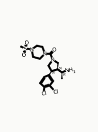 C[C@H](N)[C@@H]1CN(C(=O)N2CCN(S(C)(=O)=O)CC2)C[C@@H]1c1ccc(Cl)c(Cl)c1